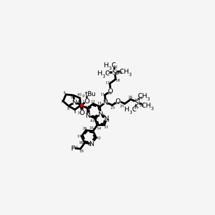 CC(C)(C)OC(=O)N1C2CCC1CC(c1cc(N(COCC[Si](C)(C)C)COCC[Si](C)(C)C)n3ncc(-c4ccc(CF)nc4)c3n1)C2